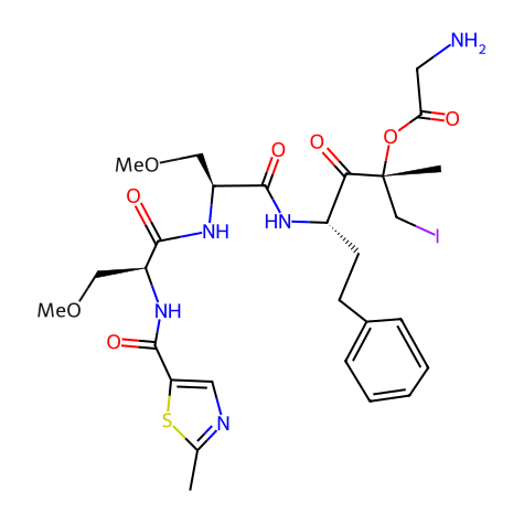 COC[C@H](NC(=O)c1cnc(C)s1)C(=O)N[C@@H](COC)C(=O)N[C@@H](CCc1ccccc1)C(=O)[C@@](C)(CI)OC(=O)CN